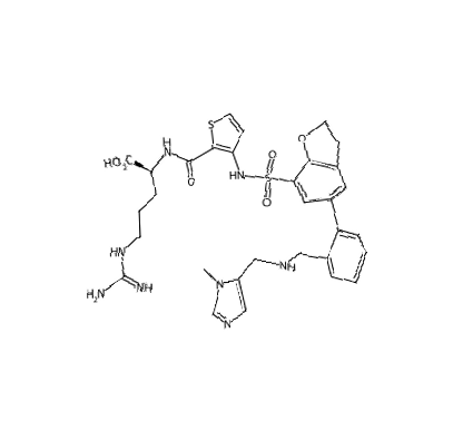 Cn1cncc1CNCc1ccccc1-c1cc2c(c(S(=O)(=O)Nc3ccsc3C(=O)N[C@@H](CCCNC(=N)N)C(=O)O)c1)OCC2